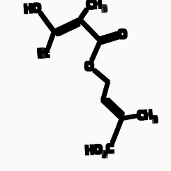 CCC(O)=C(C)C(=O)OCC=C(C)C(=O)O